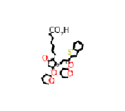 O=C(O)CCCC=CC[C@H]1C(=O)C[C@@H](OC2CCCCO2)[C@@H]1C=C[C@@H](OC1CCCCO1)c1cc2ccccc2s1